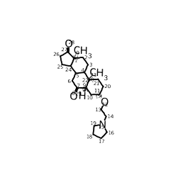 C[C@]12CCC3C(CC(=O)[C@H]4C[C@@H](OCCN5CCCC5)CC[C@]34C)C1CCC2=O